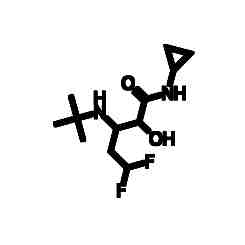 CC(C)(C)NC(CC(F)F)C(O)C(=O)NC1CC1